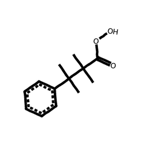 CC(C)(C(=O)OO)C(C)(C)c1ccccc1